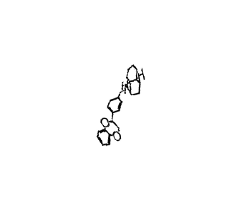 c1ccc2c(c1)OC[C@H](c1ccc(CN3CCC[C@H]4CCCC[C@H]43)cc1)O2